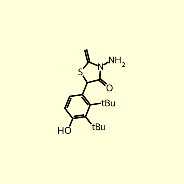 C=C1SC(c2ccc(O)c(C(C)(C)C)c2C(C)(C)C)C(=O)N1N